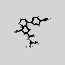 N#Cc1ccc(C2=CCOc3c(F)cc(C(=O)N=C(N)N)cc32)cc1